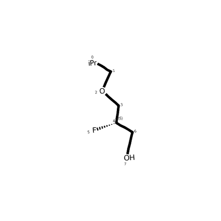 CC(C)COC[C@@H](F)CO